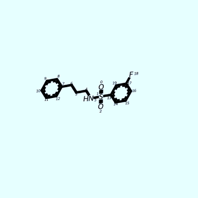 O=S(=O)(NCCCc1ccccc1)c1cccc(F)c1